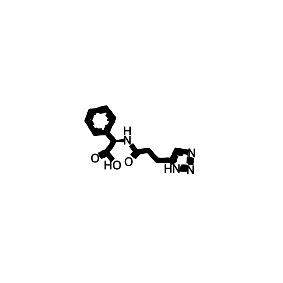 O=C(CCc1cnn[nH]1)N[C@@H](C(=O)O)c1ccccc1